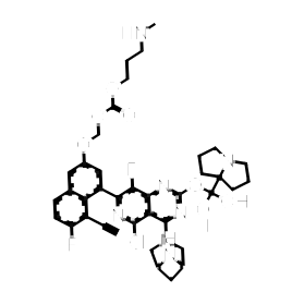 C#Cc1c(F)ccc2cc(OCOC(=O)OCCCNC)cc(-c3nc(Cl)c4c(N5CC6CC(C5)N6)nc(OC(O)(O)C56CCCN5CCC6)nc4c3F)c12